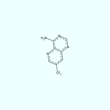 Nc1ncnc2cc(C(F)(F)F)cnc12